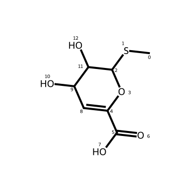 CSC1OC(C(=O)O)=CC(O)C1O